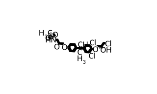 CC(C)(c1ccc(OCC(=O)CNS(C)(=O)=O)cc1)c1cc(Cl)c(OC[C@@H](O)CCl)c(Cl)c1